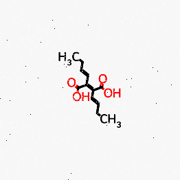 CCC=CC(C(=O)O)=C(C=CCC)C(=O)O